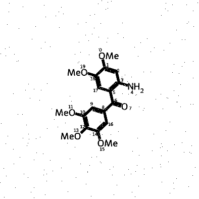 COc1cc(N)c(C(=O)c2cc(OC)c(OC)c(OC)c2)cc1OC